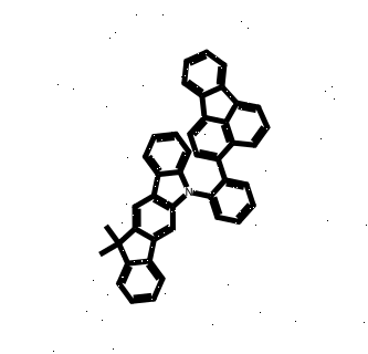 CC1(C)c2ccccc2-c2cc3c(cc21)c1ccccc1n3-c1ccccc1-c1ccc2c3c(cccc13)-c1ccccc1-2